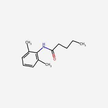 CCCCC(=O)Nc1c(C)cccc1C